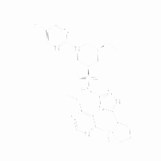 COc1ncnc(OC)c1-n1c(NS(=O)(=O)[C@@H]2C[C@H](OC)CN(c3ncc(F)cn3)C2)nnc1C1CCCO1